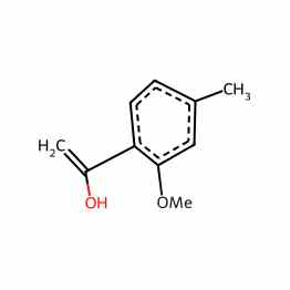 C=C(O)c1ccc(C)cc1OC